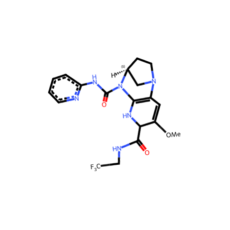 COC1=CC2=C(NC1C(=O)NCC(F)(F)F)N(C(=O)Nc1ccccn1)[C@H]1CCN2C1